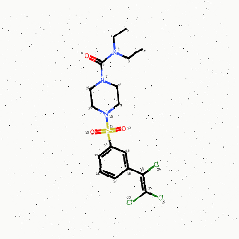 CCN(CC)C(=O)N1CCN(S(=O)(=O)c2cccc(C(Cl)=C(Cl)Cl)c2)CC1